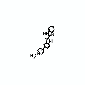 CN1CCN(c2ccc3[nH]c(-c4nc5ccccc5[nH]4)nc3c2)CC1